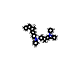 CC1(C)c2cc(N(c3ccccc3)c3ccc4cc5c(cc4c3)C(C)(C)c3ccc4ccccc4c3-5)ccc2-c2cc3c(cc21)c1ccccc1n3-c1ccccc1